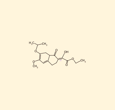 CCOC(=O)/C(O)=C1\CCC2=CC(OC)=C(OC(C)C)CC2C1=O